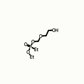 CCOP(=O)(CC)OCOCCO